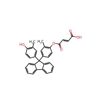 Cc1cc(C2(c3ccc(OC(=O)C=CC(=O)O)c(C)c3)c3ccccc3-c3ccccc32)ccc1O